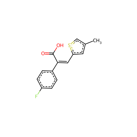 Cc1csc(C=C(C(=O)O)c2ccc(F)cc2)c1